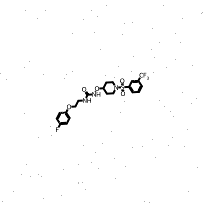 O=C(NCCOc1ccc(F)cc1)NOC1CCN(S(=O)(=O)c2cccc(C(F)(F)F)c2)CC1